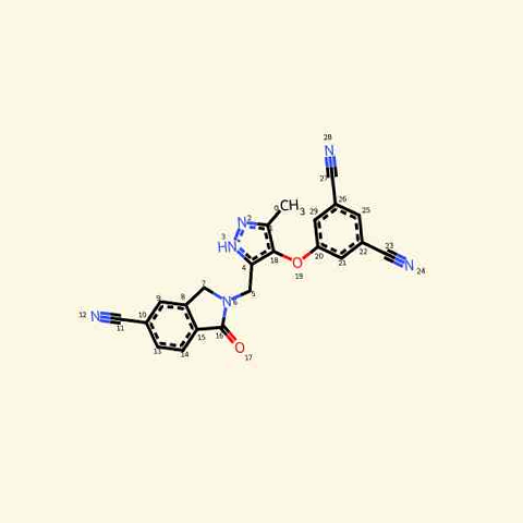 Cc1n[nH]c(CN2Cc3cc(C#N)ccc3C2=O)c1Oc1cc(C#N)cc(C#N)c1